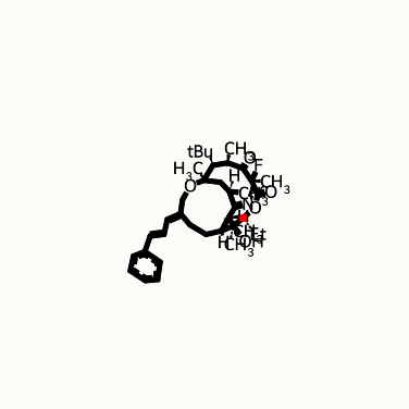 CC[C@H]1OC(=O)[C@@](C)(F)C(=O)[C@H](C)[C@@H](C(C)(C)C)[C@@]2(C)C[C@@H](C)/C(=N\C(C)=O)[C@H](C)[C@@H](CC/C(=C\C=C\c3ccccc3)CO2)[C@]1(C)O